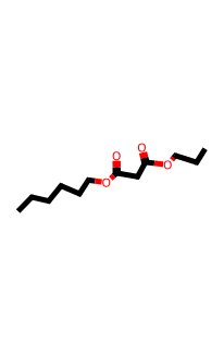 CCCCCCOC(=O)CC(=O)OCCC